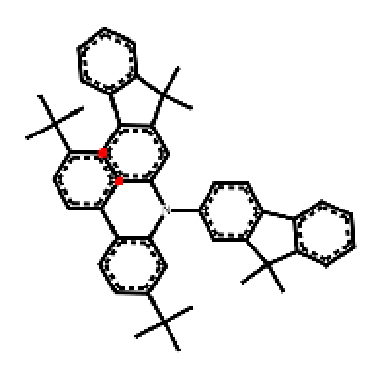 CC(C)(C)c1ccc(-c2ccc(C(C)(C)C)cc2N(c2ccc3c(c2)C(C)(C)c2ccccc2-3)c2ccc3c(c2)C(C)(C)c2ccccc2-3)cc1